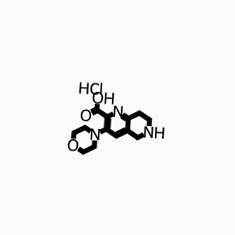 Cl.O=C(O)c1nc2c(cc1N1CCOCC1)CNCC2